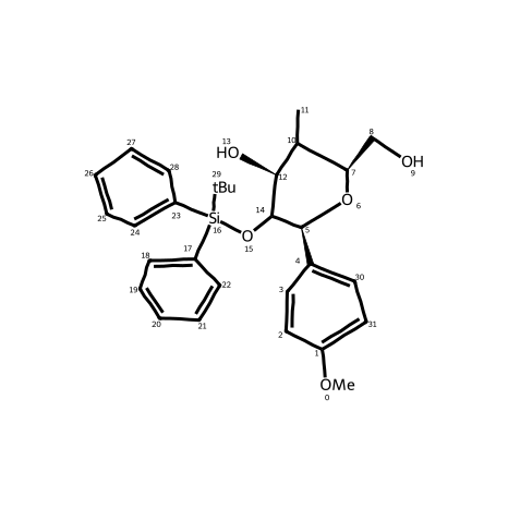 COc1ccc([C@@H]2O[C@H](CO)C(C)[C@H](O)C2O[Si](c2ccccc2)(c2ccccc2)C(C)(C)C)cc1